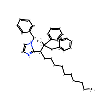 CCCCCCCCCCC(c1nccn1Cc1ccccc1)C(C)(Cc1ccccc1)c1ccccc1